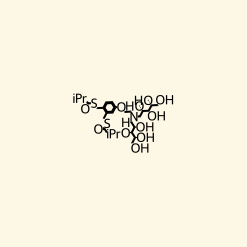 CC(C)C(=O)SCc1ccc(OCCN(C[C@H](O)[C@H](O)[C@H](O)CO)C[C@H](O)[C@H](O)[C@H](O)CO)cc1CSC(=O)C(C)C